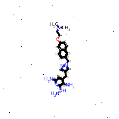 CN(C)CCOc1ccc2cc(Cn3cc(Cc4cc(N)nc(NN)c4N)cn3)ccc2c1